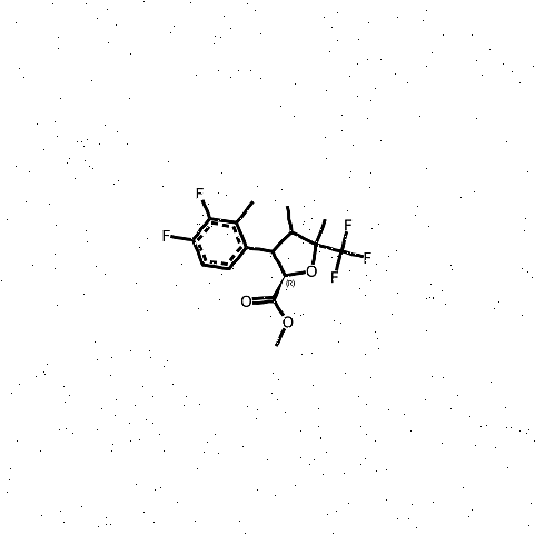 COC(=O)[C@@H]1OC(C)(C(F)(F)F)C(C)C1c1ccc(F)c(F)c1C